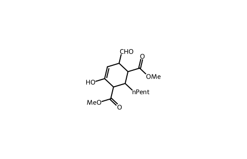 CCCCCC1C(C(=O)OC)C(O)=CC(C=O)C1C(=O)OC